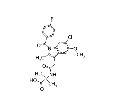 COc1cc2c(CC(=O)NC(C)(C)C(=O)O)c(C)n(C(=O)c3ccc(F)cc3)c2cc1Cl